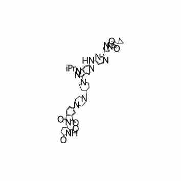 CC(C)n1nc(N2CCC(CN3CCN(c4ccc5c(c4)C(=O)N(C4CCC(=O)NC4=O)C5=O)CC3)CC2)c2cnc(Nc3ccnc(-c4cnn(S(=O)(=O)C5CC5)c4)n3)cc21